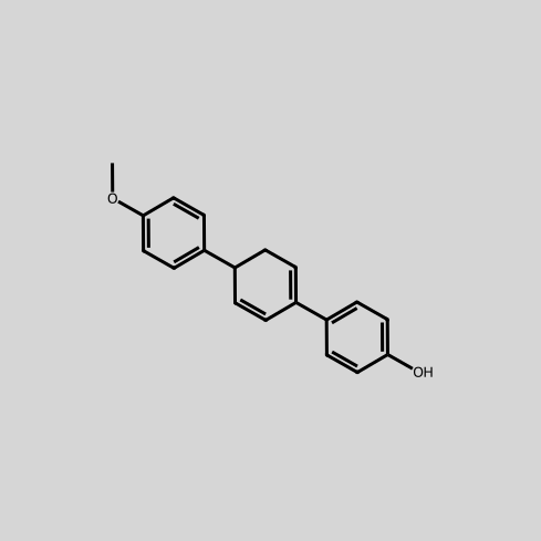 COc1ccc(C2C=CC(c3ccc(O)cc3)=CC2)cc1